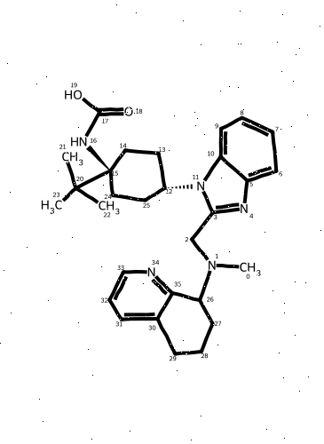 CN(Cc1nc2ccccc2n1[C@H]1CC[C@@](NC(=O)O)(C(C)(C)C)CC1)C1CCCc2cccnc21